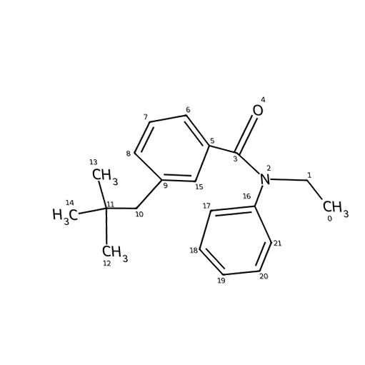 CCN(C(=O)c1cccc(CC(C)(C)C)c1)c1ccccc1